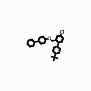 CC(C)(C)c1ccc(-c2ccc(Cl)cc2COc2ccc(-c3[c]cccc3)cc2)cc1